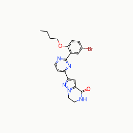 CCCCOc1ccc(Br)cc1-c1nccc(-c2cc3n(n2)CCNC3=O)n1